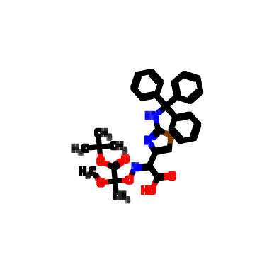 COC(C)(ON=C(C(=O)O)c1csc(NC(c2ccccc2)(c2ccccc2)c2ccccc2)n1)C(=O)OC(C)(C)C